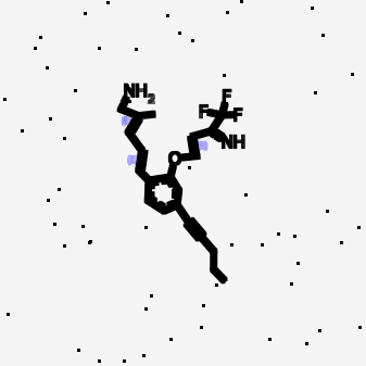 CCCC#Cc1ccc(/C=C/C=C(\C)CN)c(O/C=C/C(=N)C(F)(F)F)c1